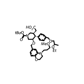 CCOC(C)COCc1ccc([C@H]2[C@H](CC(=O)O)CN(C(=O)OC(C)(C)C)C[C@@H]2OCc2ccc3c(c2)N(CCCOC)CCO3)cc1